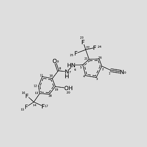 N#Cc1ccc(NNC(=O)c2ccc(C(F)(F)F)cc2O)c(C(F)(F)F)c1